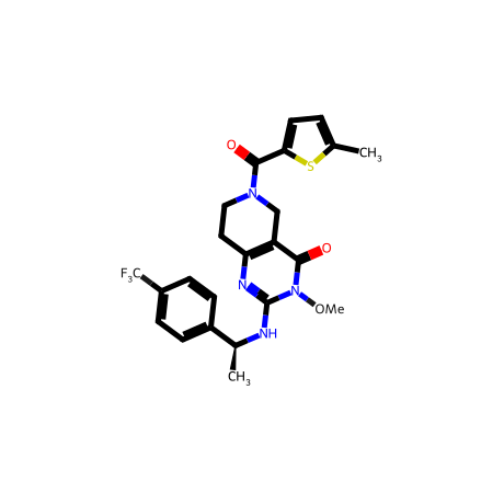 COn1c(N[C@@H](C)c2ccc(C(F)(F)F)cc2)nc2c(c1=O)CN(C(=O)c1ccc(C)s1)CC2